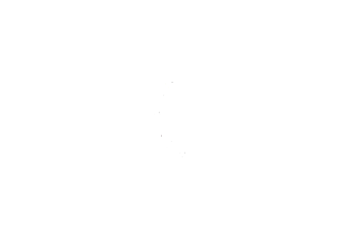 C=CS(=O)(=O)CCOCCCOc1ccc(C(=O)Oc2ccc(OC)cc2)cc1